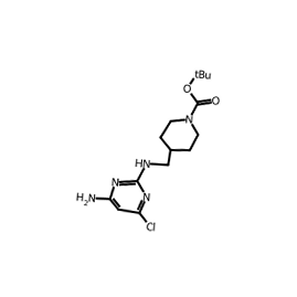 CC(C)(C)OC(=O)N1CCC(CNc2nc(N)cc(Cl)n2)CC1